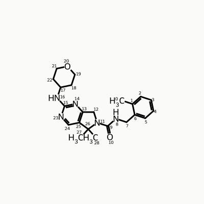 Cc1ccccc1CNC(=O)N1Cc2nc(NC3CCOCC3)ncc2C1(C)C